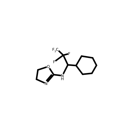 FC(F)(F)C(F)(F)C(NC1=NCCO1)C1CCCCC1